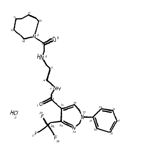 Cl.O=C(NCCNC(=O)N1CCCCC1)c1cn(-c2ccccc2)nc1C(F)(F)F